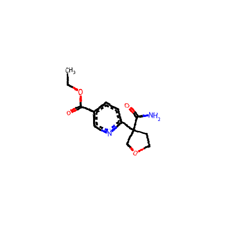 CCOC(=O)c1ccc(C2(C(N)=O)CCOC2)nc1